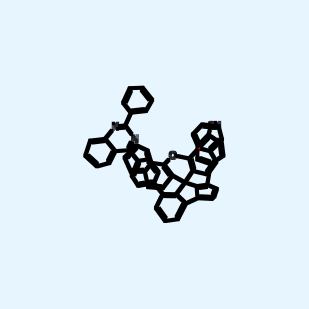 N#Cc1ccc(-c2cccc3c2C2(c4ccc5ccccc5c4Oc4c2ccc2ccccc42)c2c(-c4ccc(-c5nc(-c6ccccc6)nc6ccccc56)cc4)cccc2-3)cc1